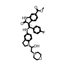 COC(=O)c1ccc2c(c1)NC(=O)/C2=C(\Nc1ccc2c(c1)CCN2C(O)CN1CCOCC1)c1ccc(F)cc1